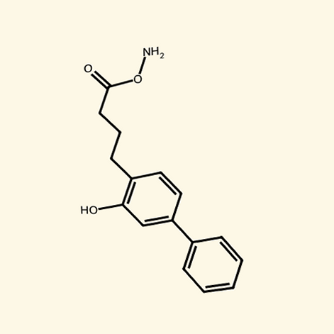 NOC(=O)CCCc1ccc(-c2ccccc2)cc1O